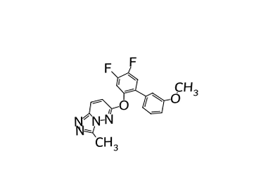 COc1cccc(-c2cc(F)c(F)cc2Oc2ccc3nnc(C)n3n2)c1